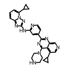 c1cc(C2CC2)n2nc(Nc3cc(-c4nc(N5CCNCC5)c5c(C6CC6)cncc5n4)ccn3)nc2c1